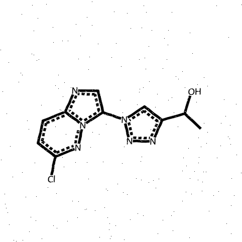 CC(O)c1cn(-c2cnc3ccc(Cl)nn23)nn1